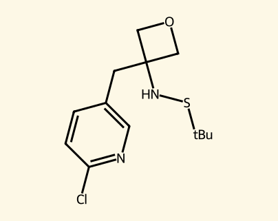 CC(C)(C)SNC1(Cc2ccc(Cl)nc2)COC1